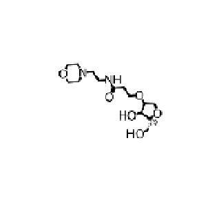 O=C(CCOC1CO[C@H](CO)C1O)NCCN1CCOCC1